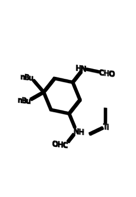 CCCCC1(CCCC)CC(NC=O)CC(NC=O)C1.[CH3][Ti][CH3]